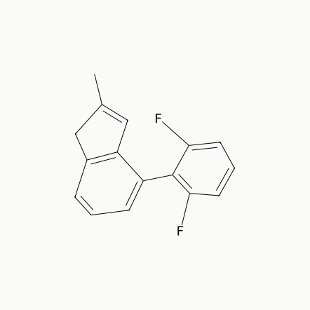 CC1=Cc2c(cccc2-c2c(F)cccc2F)C1